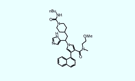 CCCCNC(=O)N1CCC(CC(c2cnc[nH]2)n2cc(C(=O)N(C)CCOC)c(-c3cccc4ccccc34)c2)CC1